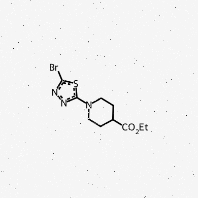 CCOC(=O)C1CCN(c2nnc(Br)s2)CC1